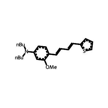 CCCCN(CCCC)c1ccc(/C=C/C=Cc2cccs2)c(OC)c1